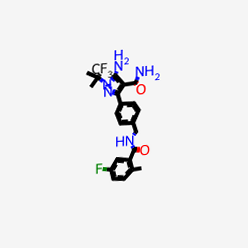 Cc1ccc(F)cc1C(=O)NCc1ccc(-c2nn(C(C)(C)C(F)(F)F)c(N)c2C(N)=O)cc1